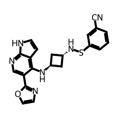 N#Cc1cccc(SN[C@H]2C[C@H](Nc3c(-c4ncco4)cnc4[nH]ccc34)C2)c1